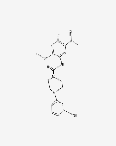 COc1nc(C)c(C(C)=O)cc1NC(=S)N1CCN(c2cccc(O)c2)CC1